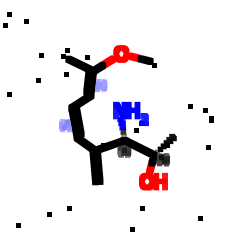 C=C(/C=C\C=C(/C)OC)[C@H](N)[C@H](C)O